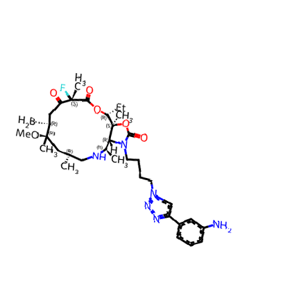 B[C@@H]1CC(=O)[C@](C)(F)C(=O)O[C@H](CC)[C@@]2(C)OC(=O)N(CCCCn3cc(-c4cccc(N)c4)nn3)[C@@H]2[C@@H](C)NC[C@H](C)C[C@@]1(C)OC